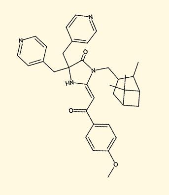 COc1ccc(C(=O)C=C2NC(Cc3ccncc3)(Cc3ccncc3)C(=O)N2CC2CC3CC(C2C)C3(C)C)cc1